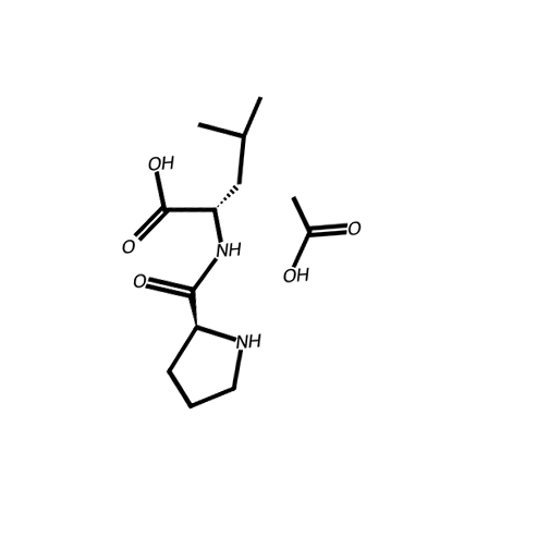 CC(=O)O.CC(C)C[C@H](NC(=O)[C@@H]1CCCN1)C(=O)O